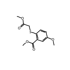 COC(=O)CSc1ccc(OC)cc1C(=O)OC